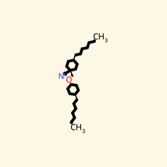 CCCCCCC[C@H]1CC[C@H](OC[C@]2(C#N)CC[C@H](CCCCCCC)CC2)CC1